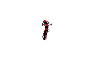 CC(C)OC(=O)CN1CCN(CC2CN(c3ccc(C(=N)NC(=O)c4cccs4)cc3)C(=O)O2)CC1